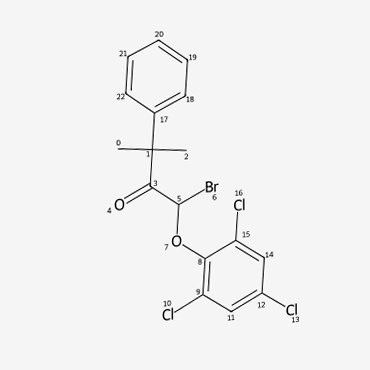 CC(C)(C(=O)C(Br)Oc1c(Cl)cc(Cl)cc1Cl)c1ccccc1